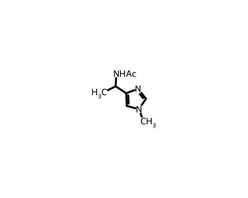 CC(=O)NC(C)c1cn(C)cn1